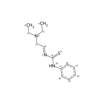 CCN(CC)C/C=N/C(=S)Nc1ccccc1